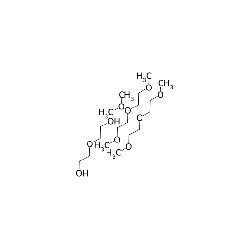 COC.COCCOCCOC.COCCOCCOC.OCCOCCO